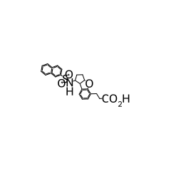 O=C(O)CCc1cccc2c1OC1CCC(NS(=O)(=O)c3ccc4ccccc4c3)C21